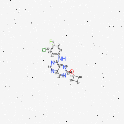 Fc1ccc(Nc2ncnc3cnc(OC4CCC4)nc23)cc1Cl